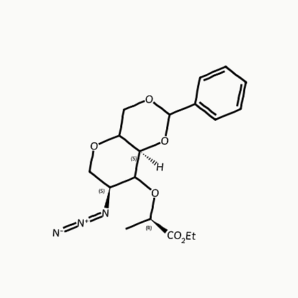 CCOC(=O)[C@@H](C)OC1[C@@H]2OC(c3ccccc3)OCC2OC[C@@H]1N=[N+]=[N-]